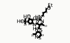 CCOCCCCNc1nc(C)c(-c2nc3c(C)nccc3s2)c(N[C@@H]2C[C@H](C(C)(C)O)[C@@H](O)[C@H]2O)n1